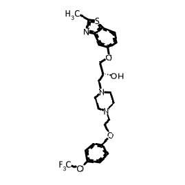 Cc1nc2cc(OC[C@H](O)CN3CCN(CCOc4ccc(OC(F)(F)F)cc4)CC3)ccc2s1